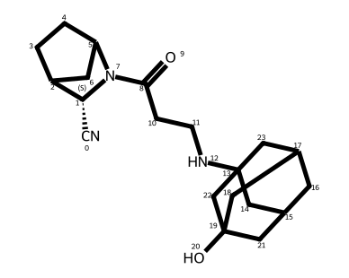 N#C[C@@H]1C2CCC(C2)N1C(=O)CCNC12CC3CC(CC(O)(C3)C1)C2